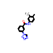 Cc1ccc(NC(=O)c2cccc(-n3cnnn3)c2)cc1C(F)(F)F